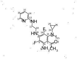 CC(=O)c1c(N)c(F)c(NCCNc2ccccn2)c(F)c1N(I)C1CC1